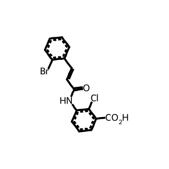 O=C(C=Cc1ccccc1Br)Nc1cccc(C(=O)O)c1Cl